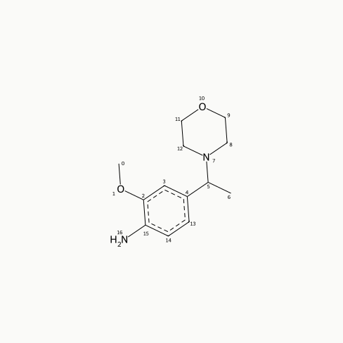 COc1cc(C(C)N2CCOCC2)ccc1N